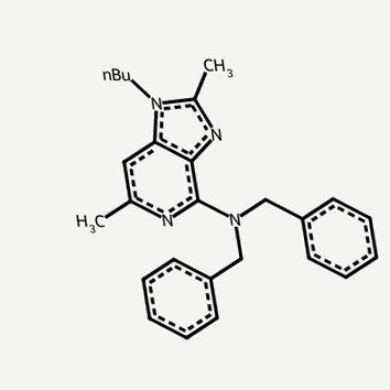 CCCCn1c(C)nc2c(N(Cc3ccccc3)Cc3ccccc3)nc(C)cc21